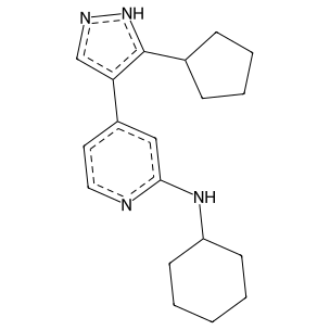 c1cc(-c2cn[nH]c2C2CCCC2)cc(NC2CCCCC2)n1